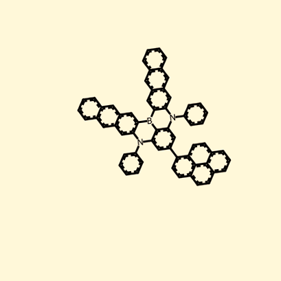 c1ccc(N2c3cc4cc5ccccc5cc4cc3B3c4cc5cc6ccccc6cc5cc4N(c4ccccc4)c4cc(-c5ccc6ccc7cccc8ccc5c6c78)cc2c43)cc1